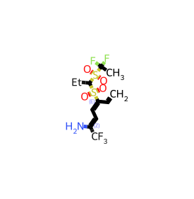 C=C/C(=C\C=C(/N)C(F)(F)F)S(=O)(=O)C(CC)S(=O)(=O)C(C)(F)F